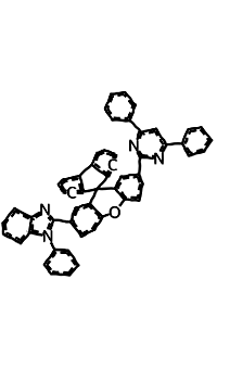 c1ccc(-c2cc(-c3ccccc3)nc(-c3ccc4c(c3)C3(c5cc(-c6nc7ccccc7n6-c6ccccc6)ccc5O4)c4ccccc4-c4ccccc43)n2)cc1